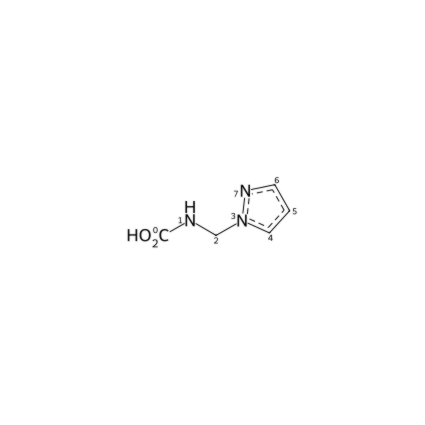 O=C(O)NCn1cccn1